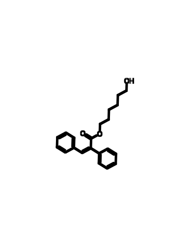 O=C(OCCCCCCO)/C(=C\c1ccccc1)c1ccccc1